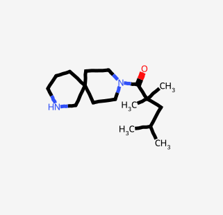 CC(C)CC(C)(C)C(=O)N1CCC2(CCCNC2)CC1